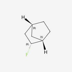 F[C@@H]1C[C@@H]2CC[C@H]1C2